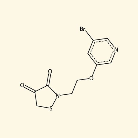 O=C1CSN(CCOc2cncc(Br)c2)C1=O